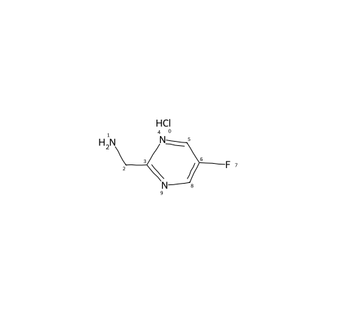 Cl.NCc1ncc(F)cn1